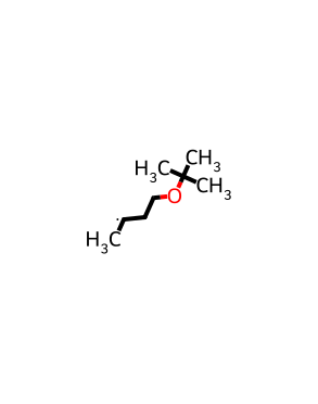 C[CH]CCOC(C)(C)C